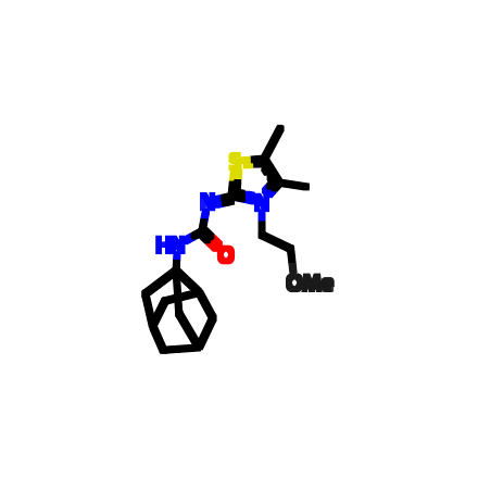 COCCn1c(C)c(C)sc1=NC(=O)NC12CC3CC(CC1C3)C2